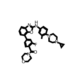 Cc1cc(Nc2nc3cccc(-c4ccc(C(=O)N5CCOCC5)c(F)c4)c3o2)ccc1N1CCN(C2CC2)CC1